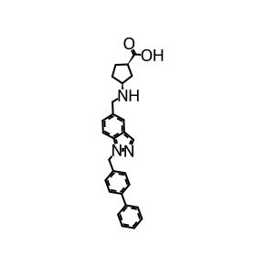 O=C(O)[C@@H]1CC[C@H](NCc2ccc3c(cnn3Cc3ccc(-c4ccccc4)cc3)c2)C1